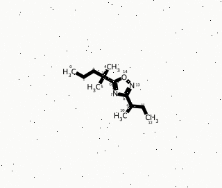 CCCC(C)(C)c1nc(C(C)CC)no1